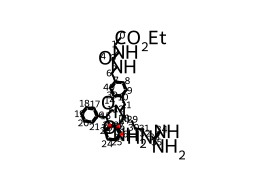 CCOC(=O)CNC(=O)NCc1ccc(CN(C(=O)C(c2ccccc2)c2ccccc2)[C@H](CCCNC(=N)N)C(N)=O)cc1